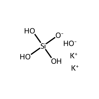 [K+].[K+].[O-][Si](O)(O)O.[OH-]